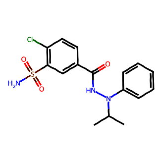 CC(C)N(NC(=O)c1ccc(Cl)c(S(N)(=O)=O)c1)c1ccccc1